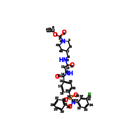 CC(C)(C)OC(=O)N1CCC(CNC(=O)CNC(=O)c2ccc(S(=O)(=O)N(Oc3ccccc3)c3cccc(F)c3)cc2)CC1